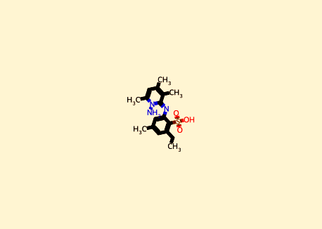 CCc1cc(C)cc(/N=c2/c(C)c(C)cc(C)n2N)c1S(=O)(=O)O